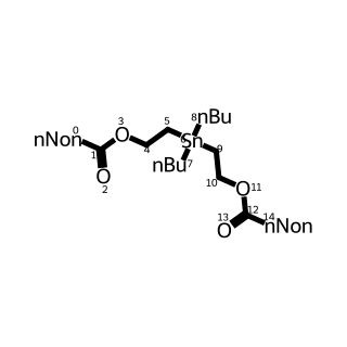 CCCCCCCCCC(=O)OC[CH2][Sn]([CH2]CCC)([CH2]CCC)[CH2]COC(=O)CCCCCCCCC